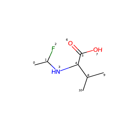 CC(F)NC(C(=O)O)C(C)C